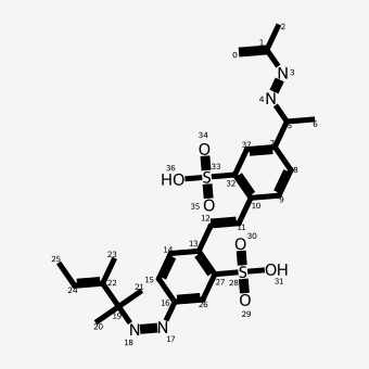 C=C(C)N=NC(C)c1ccc(C=Cc2ccc(/N=N\C(C)(C)/C(C)=C/C)cc2S(=O)(=O)O)c(S(=O)(=O)O)c1